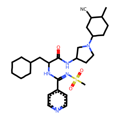 CC1CCC(N2CCC(NC(=O)C(CC3CCCCC3)NC(=NS(C)(=O)=O)c3ccncc3)C2)CC1C#N